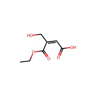 CCOC(=O)/C(=C\C(=O)O)CO